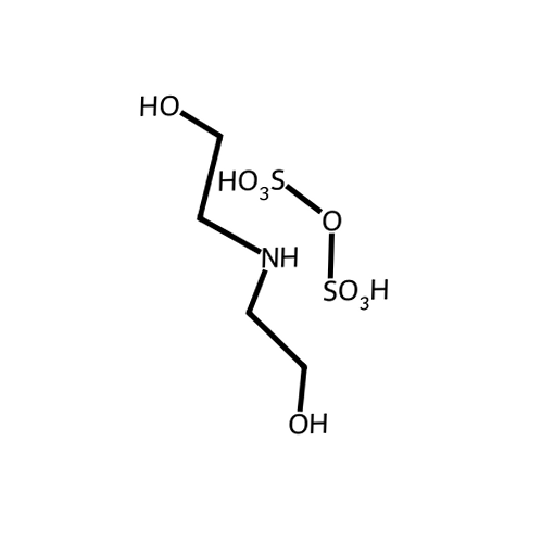 O=S(=O)(O)OS(=O)(=O)O.OCCNCCO